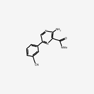 CNC(=O)c1nc(-c2cccc(C#N)c2)cnc1N